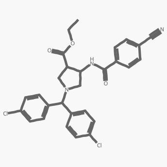 CCOC(=O)C1CN(C(c2ccc(Cl)cc2)c2ccc(Cl)cc2)CC1NC(=O)c1ccc(C#N)cc1